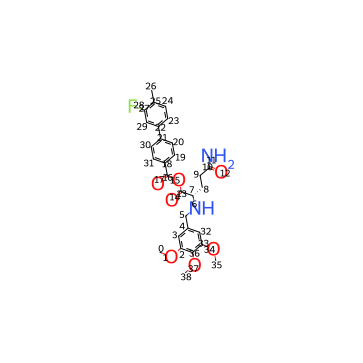 COc1cc(CN[C@@H](CCC(N)=O)C(=O)OC(=O)c2ccc(-c3ccc(C)c(F)c3)cc2)cc(OC)c1OC